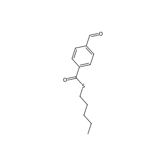 CCCCCSC(=O)c1ccc(C=O)cc1